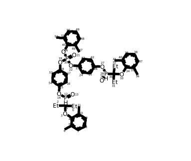 CCC(CC)(Oc1c(C)cccc1C)[PH](=O)Oc1ccc(OP(=O)(Oc2ccc(O[PH](=O)C(CC)(CC)Oc3c(C)cccc3C)cc2)Oc2c(C)cccc2C)cc1